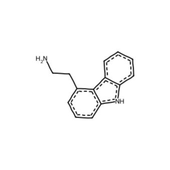 NCCc1cccc2[nH]c3ccccc3c12